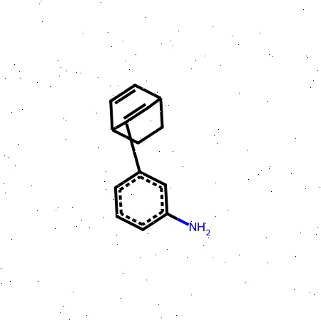 Nc1cccc(C2=CC3C=CC2CC3)c1